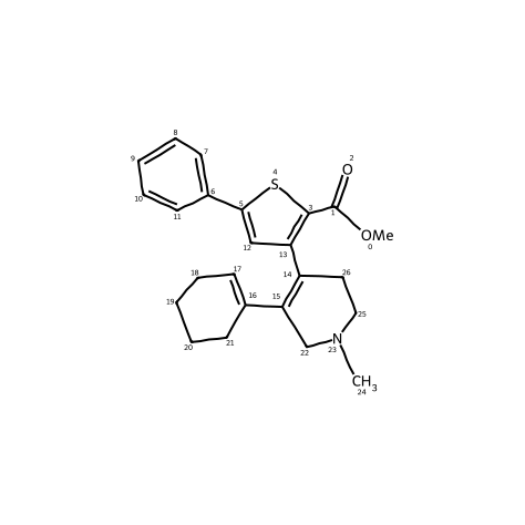 COC(=O)c1sc(-c2ccccc2)cc1C1=C(C2=CCCCC2)CN(C)CC1